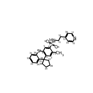 Cc1cc2c(cc1S(=O)(=O)NCCc1ccncc1)Sc1ccccc1C21CCCC1